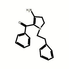 NC1=C(C(=O)c2ccccc2)N(CCc2ccccc2)CC1